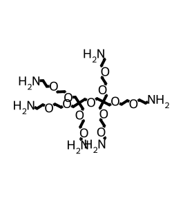 NCCOCCOCC(COCCOCN)(COCCOCCN)COCC(COCCOCN)(COCCOCCN)COCCOCCN